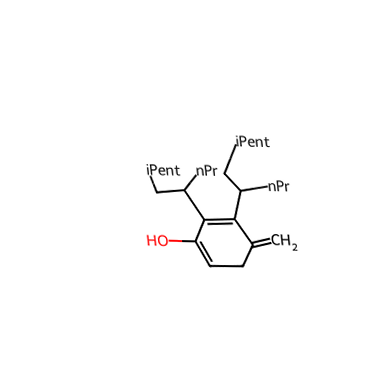 C=C1CC=C(O)C(C(CCC)CC(C)CCC)=C1C(CCC)CC(C)CCC